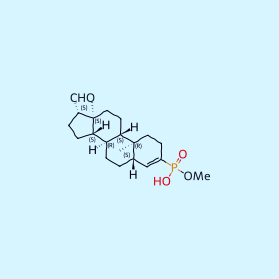 COP(=O)(O)C1=C[C@@H]2CC[C@@H]3[C@H](CC[C@]4(C)[C@@H](C=O)CC[C@@H]34)[C@@]2(C)CC1